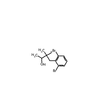 CC(O)C(C)(F)Cc1c(Br)cccc1Br